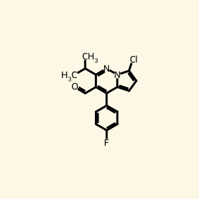 CC(C)c1nn2c(Cl)ccc2c(-c2ccc(F)cc2)c1C=O